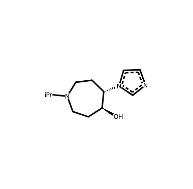 CC(C)N1CC[C@H](O)[C@@H](n2ccnc2)CC1